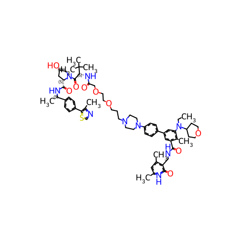 CCN(c1cc(-c2ccc(N3CCN(CCCOCCOCC(=O)N[C@H](C(=O)N4C[C@H](O)C[C@H]4C(=O)N[C@@H](C)c4ccc(-c5scnc5C)cc4)C(C)(C)C)CC3)cc2)cc(C(=O)NCc2c(C)cc(C)[nH]c2=O)c1C)C1CCOCC1